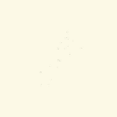 CC(C=O)OC1(CN(C)C)CCN(CCc2ccccc2F)CC1